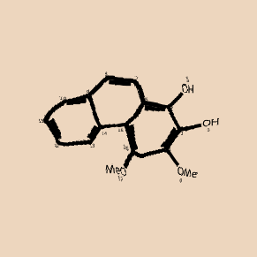 COc1c(O)c(O)c2ccc3ccccc3c2c1OC